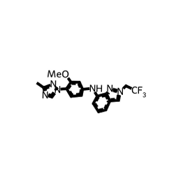 COc1cc(Nc2cccc3cn(CC(F)(F)F)nc23)ccc1-n1cnc(C)n1